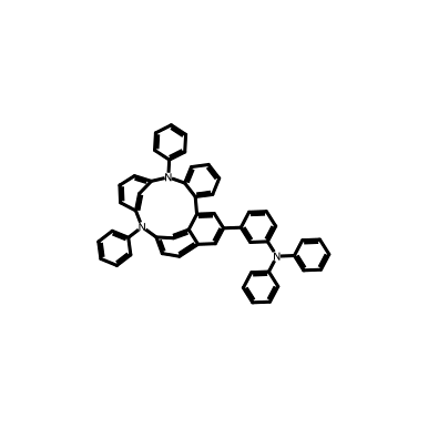 c1ccc(N(c2ccccc2)c2cccc(-c3cc4ccc5cc4c(c3)c3ccccc3n(-c3ccccc3)c3cccc(c3)n5-c3ccccc3)c2)cc1